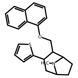 CN1C2CCC1C(COc1cccc3ccccc13)C(c1cccs1)C2